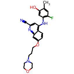 Cc1cc(F)c(Nc2cc(C#N)nc3cc(OCCCN4CCOCC4)ccc23)cc1O